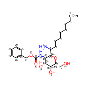 CCCCCCCCCCCCCCCCCC(N)[C@@H]1O[C@H](CO)[C@H](O)[C@H](O)[C@H]1NC(=O)OCc1ccccc1